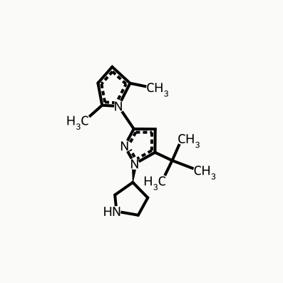 Cc1ccc(C)n1-c1cc(C(C)(C)C)n([C@H]2CCNC2)n1